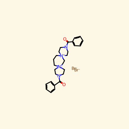 O=C(c1ccccc1)N1CC[N+]2(CCC[N+]3(CCN(C(=O)c4ccccc4)CC3)CC2)CC1.[Br-].[Br-]